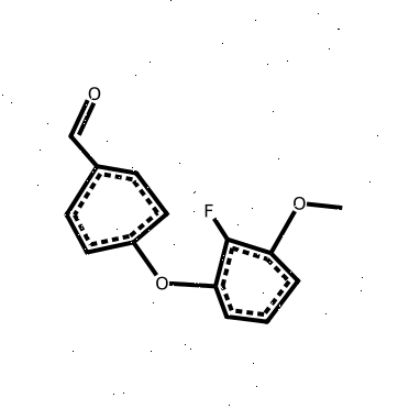 COc1cccc(Oc2ccc(C=O)cc2)c1F